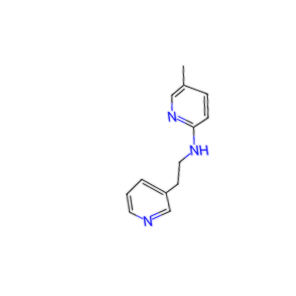 Cc1ccc(NCCc2cccnc2)nc1